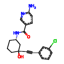 Nc1ccc(C(=O)N[C@H]2CCC[C@@](O)(C#Cc3cccc(Cl)c3)C2)cn1